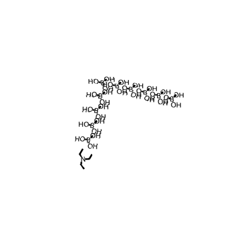 CCN(CC)CC.OB(O)O.OB(O)O.OB(O)O.OB(O)O.OB(O)O.OB(O)O.OB(O)O.OB(O)O.OB(O)O.OB(O)O